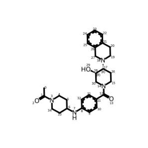 CC(=O)N1CCC(Nc2ccc(C(=O)N3CC[C@@H](N4CCc5ccccc5C4)[C@H](O)C3)cc2)CC1